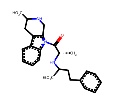 CCOC(=O)C(CCc1ccccc1)N[C@@H](C)C(=O)n1c2c(c3ccccc31)CC(C(=O)O)NC2